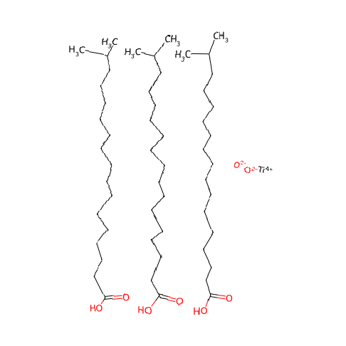 CC(C)CCCCCCCCCCCCCCC(=O)O.CC(C)CCCCCCCCCCCCCCC(=O)O.CC(C)CCCCCCCCCCCCCCC(=O)O.[O-2].[O-2].[Ti+4]